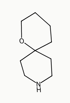 C1CCC2(CCNCC2)OC1